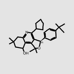 CC1(C)Cc2nc(C3CCCC3)c3c(c2C(O)C1)C(C)(C)O[C@@H]3c1ccc(C(C)(C)C)cc1